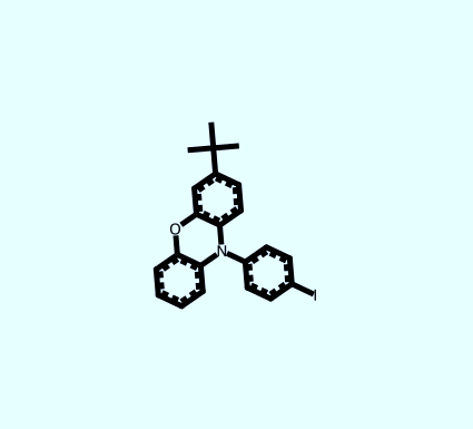 CC(C)(C)c1ccc2c(c1)Oc1ccccc1N2c1ccc(I)cc1